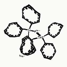 [Na+].c1cc[c]([Sn]([P-][Sn]([c]2ccccc2)([c]2ccccc2)[c]2ccccc2)([c]2ccccc2)[c]2ccccc2)cc1